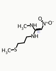 CN/C(=C\[N+](=O)[O-])NCCCSC